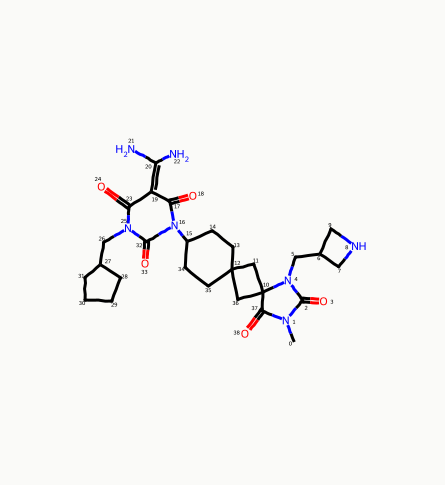 CN1C(=O)N(CC2CNC2)C2(CC3(CCC(N4C(=O)C(=C(N)N)C(=O)N(CC5CCCC5)C4=O)CC3)C2)C1=O